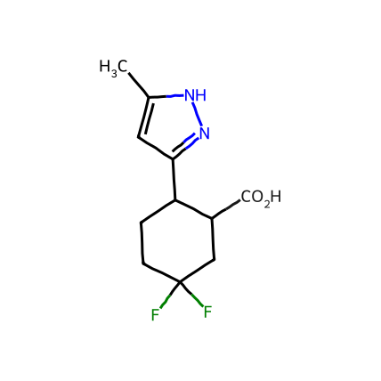 Cc1cc(C2CCC(F)(F)CC2C(=O)O)n[nH]1